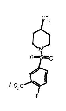 O=C(O)c1cc(S(=O)(=O)N2CCC(C(F)(F)F)CC2)ccc1F